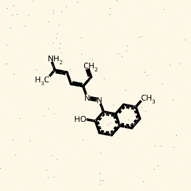 C=CC(=C\C=C(/C)N)/N=N/c1c(O)ccc2ccc(C)cc12